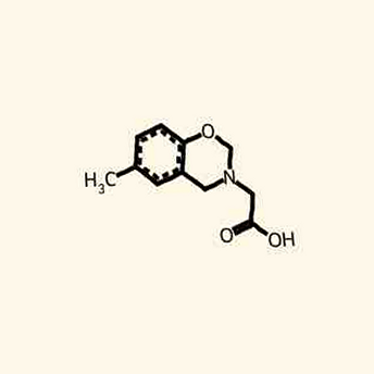 Cc1ccc2c(c1)CN(CC(=O)O)CO2